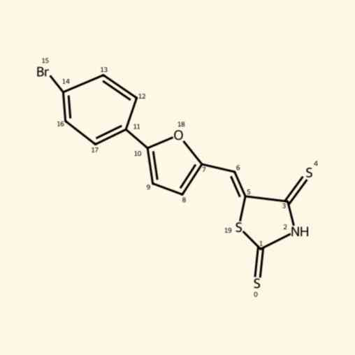 S=C1NC(=S)C(=Cc2ccc(-c3ccc(Br)cc3)o2)S1